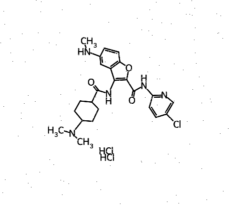 CNc1ccc2oc(C(=O)Nc3ccc(Cl)cn3)c(NC(=O)C3CCC(N(C)C)CC3)c2c1.Cl.Cl